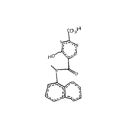 CN(C(=O)c1cnc(C(=O)O)nc1O)c1cccc2ccccc12